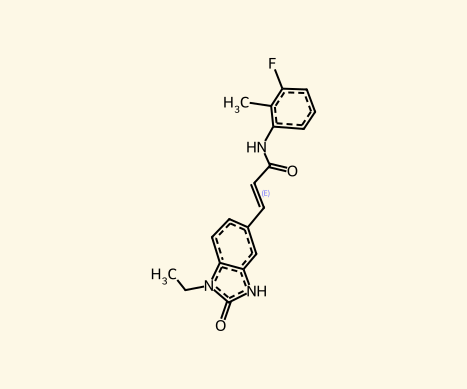 CCn1c(=O)[nH]c2cc(/C=C/C(=O)Nc3cccc(F)c3C)ccc21